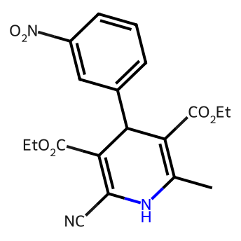 CCOC(=O)C1=C(C)NC(C#N)=C(C(=O)OCC)C1c1cccc([N+](=O)[O-])c1